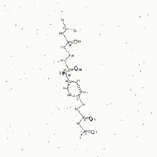 CC(=O)CC(=O)CCc1ccc(NC(=O)CCCC(=O)CC(C)C)cc1